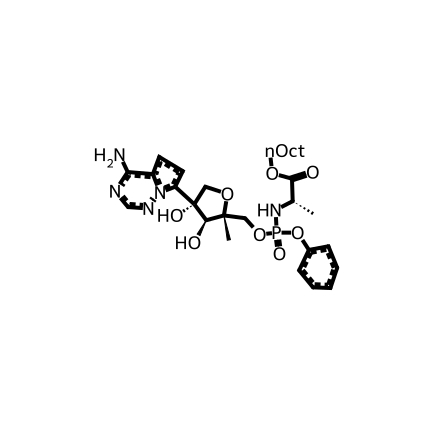 CCCCCCCCOC(=O)[C@H](C)NP(=O)(OC[C@@]1(C)OC[C@](O)(c2ccc3c(N)ncnn23)[C@@H]1O)Oc1ccccc1